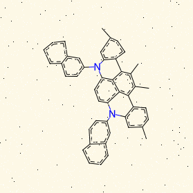 Cc1ccc2c(c1)N(c1ccc3ccccc3c1)c1ccc3c4c(c(C)c(C)c-2c14)-c1ccc(C)cc1N3c1ccc2ccccc2c1